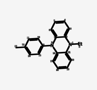 CCN1c2ccccc2N(c2ccc(C)cc2)c2ccccc21